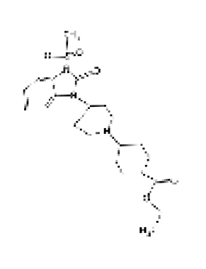 CCOC(=O)N1CCC(N2CCC(n3c(=O)n(S(C)(=O)=O)c4ccccc43)CC2)CC1